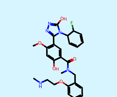 CNCCOc1ccccc1CN(C)C(=O)c1cc(-c2nnc(O)n2C2C=CC=CC2F)c(OC)cc1O